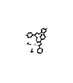 CC(C)(C)c1ccc(C2=CC(c3ccc(C(C)(C)C)cc3)=N/C2=C\c2c(-c3ccccc3)cc(-c3ccccc3)n2B(OCC(F)(F)C(F)(F)F)OCC(F)(F)C(F)(F)F)cc1